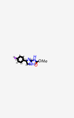 COC(=O)NC1=NC(c2ccc(I)cc2)CN1